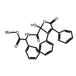 CC(C)(C)OC(=O)C(NC(=O)C1(O)OC(=O)C(c2ccccc2)=C1c1ccccc1)c1ccccc1